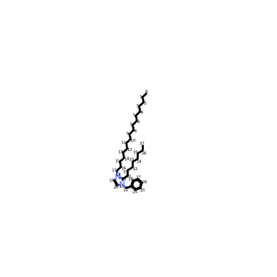 CCCCCCCCCCCCCCCCCCN1C=CN(Cc2ccccc2)C1CCCCCCCC